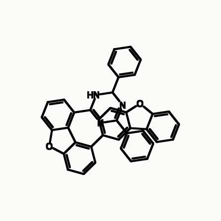 c1ccc(C2=NC(c3ccccc3)NC(c3cccc4oc5cccc(-c6ccc7oc8ccccc8c7c6)c5c34)=N2)cc1